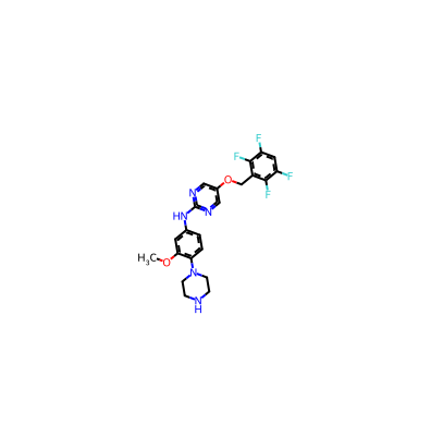 COc1cc(Nc2ncc(OCc3c(F)c(F)cc(F)c3F)cn2)ccc1N1CCNCC1